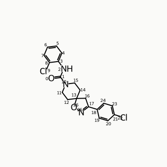 O=C(Nc1ccccc1Cl)N1CCC2(CC1)CC(c1ccc(Cl)cc1)=NO2